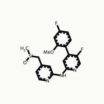 COc1cc(F)ccc1-c1cc(Nc2cc(C[S+](C)[O-])ccn2)ncc1F